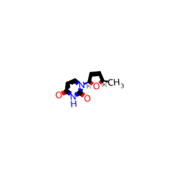 C[C@@H]1C=C[C@H](n2ccc(=O)[nH]c2=O)O1